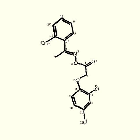 C/C(=N\OC(=O)COc1ccc(Cl)cc1Cl)c1ccccc1Cl